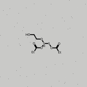 CCC(=O)OS[SH](OCCO)OC(=O)CC